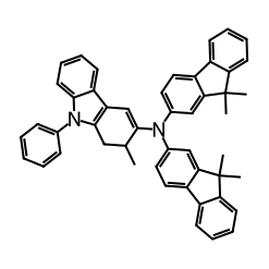 CC1Cc2c(c3ccccc3n2-c2ccccc2)C=C1N(c1ccc2c(c1)C(C)(C)c1ccccc1-2)c1ccc2c(c1)C(C)(C)c1ccccc1-2